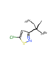 CCCCC(C)(CCC)c1cc(Cl)sn1